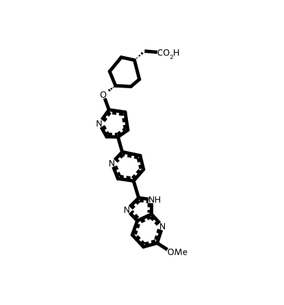 COc1ccc2nc(-c3ccc(-c4ccc(O[C@H]5CC[C@@H](CC(=O)O)CC5)nc4)nc3)[nH]c2n1